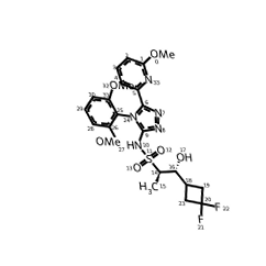 COc1cccc(-c2nnc(NS(=O)(=O)[C@H](C)[C@H](O)C3CC(F)(F)C3)n2-c2c(OC)cccc2OC)n1